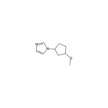 COC1CCC(n2ccnc2)C1